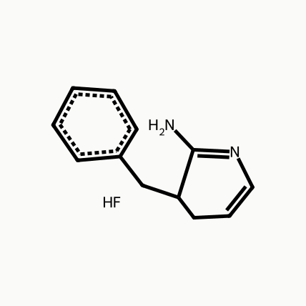 F.NC1=NC=CCC1Cc1ccccc1